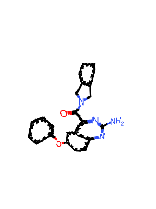 Nc1nc(C(=O)N2Cc3ccccc3C2)c2cc(Oc3ccccc3)ccc2n1